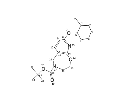 CC1CCCCC1Oc1ccc2c(n1)OCCN(C(=O)OC(C)(C)C)C2